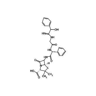 CC1(C)S[C@@H]2C(NC(=O)C(NC(=O)CNC(=N)C(O)c3ccccc3)c3ccccc3)C(=O)N2[C@H]1C(=O)O